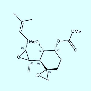 COC(=O)O[C@@H]1CC[C@]2(CO2)[C@@H]([C@@]2(C)O[C@@H]2CC=C(C)C)[C@@H]1OC